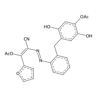 CC(=O)OC(=C(C#N)N=Nc1ccccc1Cc1cc(O)c(OC(C)=O)cc1O)c1ccco1